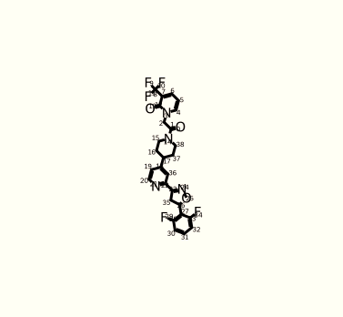 O=C(Cn1cccc(C(F)(F)F)c1=O)N1CCC(c2ccnc(C3=NOC(c4c(F)cccc4F)C3)c2)CC1